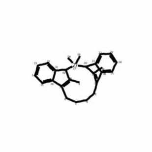 CC1=C2CCCCC3=C(C)[CH](c4ccccc43)[Zr]([CH3])([CH3])[CH]1c1ccccc12